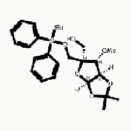 CO[C@@H]1[C@H]2OC(C)(C)O[C@H]2O[C@@]1(CO)CO[Si](c1ccccc1)(c1ccccc1)C(C)(C)C